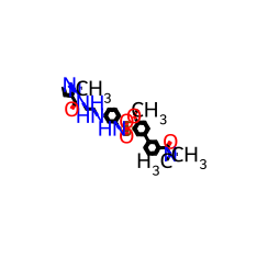 COc1ccc(-c2cccc(C(=O)N(C)C)c2)cc1S(=O)(=O)Nc1cccc(NCCNC(=O)c2ccnn2C)c1